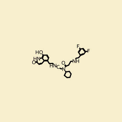 O=C(CCNCCc1cc(F)cc(F)c1)N(CCNCCc1ccc(O)c2[nH]c(=O)ccc12)C1CCCCC1